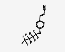 CC(F)(F)C(F)(F)C(F)(F)C(F)(F)Oc1ccc(C=CC#N)cc1